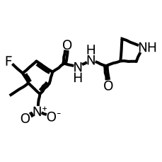 Cc1c(F)cc(C(=O)NNC(=O)C2CNC2)cc1[N+](=O)[O-]